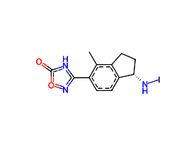 Cc1c(-c2noc(=O)[nH]2)ccc2c1CC[C@@H]2NI